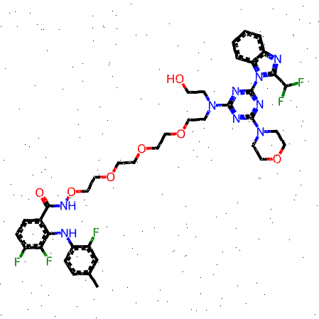 Cc1ccc(Nc2c(C(=O)NOCCOCCOCCOCCN(CCO)c3nc(N4CCOCC4)nc(-n4c(C(F)F)nc5ccccc54)n3)ccc(F)c2F)c(F)c1